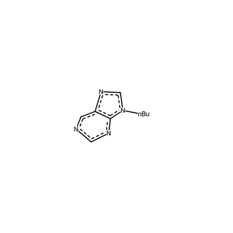 [CH2]CCCn1cnc2cncnc21